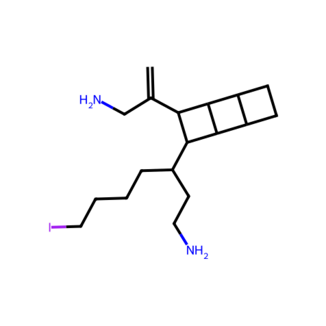 C=C(CN)C1C(C(CCN)CCCCI)C2C3CCC3C12